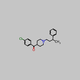 CC(CCN1CCC(C(=O)c2ccc(Cl)cc2)CC1)c1ccccc1